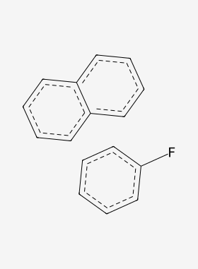 Fc1ccccc1.c1ccc2ccccc2c1